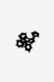 C1=CCN(c2ccn(C(c3ccccc3)(c3ccccc3)c3ccccc3)n2)C1